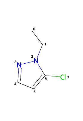 CCn1nccc1Cl